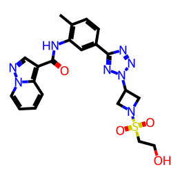 Cc1ccc(-c2nnn(C3CN(S(=O)(=O)CCO)C3)n2)cc1NC(=O)c1cnn2ccccc12